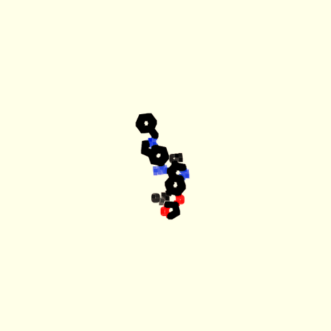 N#Cc1cnc2cc(OC3CCOC3)c([N+](=O)[O-])cc2c1Nc1ccc2c(ccn2Cc2ccccc2)c1